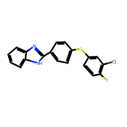 Fc1ccc(Sc2ccc(-c3nc4ccccc4[nH]3)cc2)cc1Cl